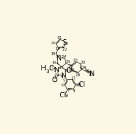 CN1C(=O)N(c2cc(Cl)cc(Cl)c2)C(=O)[C@]12CN(Cc1ccsc1)C[C@H]2c1ccc(C#N)cc1